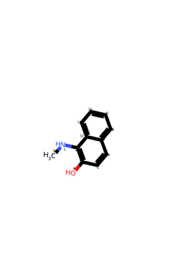 CNc1c(O)ccc2ccccc12